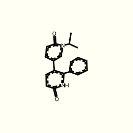 CC(C)n1cc(-c2ccc(=O)[nH]c2-c2ccccc2)ccc1=O